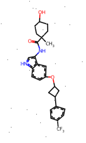 CC1(C(=O)Nc2c[nH]c3ccc(OC4CC(c5ccc(C(F)(F)F)cc5)C4)cc23)CCC(O)CC1